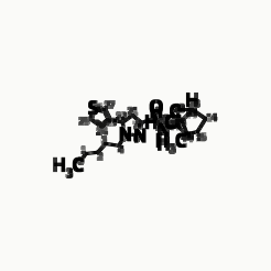 CCCCCN1N=C(C(=O)N[C@H]2C[C@H]3CC[C@]2(C)C3(C)C)CC1c1ccsc1